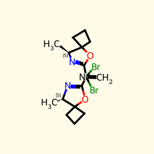 [CH2]=[Ni]([Br])([Br])([C]1=N[C@@H](C)C2(CCC2)O1)[C]1=N[C@@H](C)C2(CCC2)O1